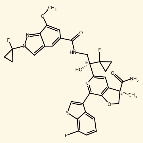 COc1cc(C(=O)NC[C@](O)(c2cc3c(c(-c4csc5c(F)cccc45)n2)OC[C@]3(C)C(N)=O)C2(F)CC2)cc2cn(C3(F)CC3)nc12